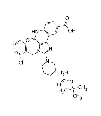 CC(C)(C)OC(=O)N[C@@H]1CCCN(c2nc3c4cc(C(=O)O)ccc4[nH]c(=O)c3n2Cc2ccccc2Cl)C1